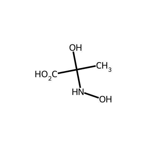 CC(O)(NO)C(=O)O